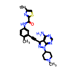 Cc1ccc(NC(=O)c2nc(C(C)(C)C)cs2)cc1C#Cc1nn(C2CCN(C)CC2)c2ncnc(N)c12